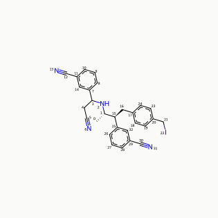 C[C@H](NC(CC#N)c1cccc(C#N)c1)[C@@H](Cc1ccc(CI)cc1)c1cccc(C#N)c1